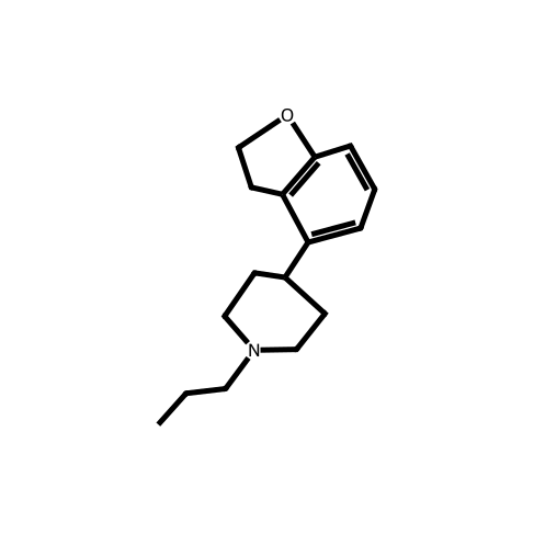 CCCN1CCC(c2cccc3c2CCO3)CC1